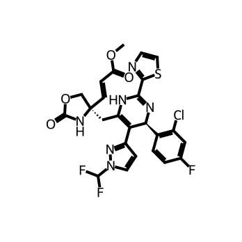 COC(=O)/C=C/[C@]1(CC2=C(c3ccn(C(F)F)n3)[C@H](c3ccc(F)cc3Cl)N=C(c3nccs3)N2)COC(=O)N1